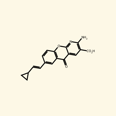 Nc1nc2oc3ccc(/C=C/C4CC4)cc3c(=O)c2cc1C(=O)O